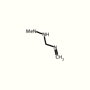 C=NCNNC